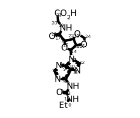 CCNC(=O)Nc1ncnc2c1ncn2C1OC(C(=O)NCC(=O)O)C2OCOC21